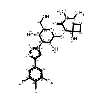 CCN(C)C(=O)[C@@H](S[C@@H]1O[C@H](CO)[C@H](O)[C@H](n2cc(-c3cc(F)c(F)c(F)c3)nn2)[C@H]1O)C1(O)CCC1